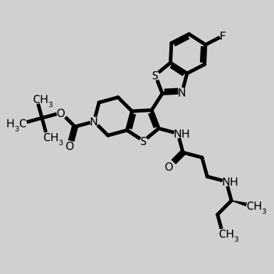 CC[C@H](C)NCCC(=O)Nc1sc2c(c1-c1nc3cc(F)ccc3s1)CCN(C(=O)OC(C)(C)C)C2